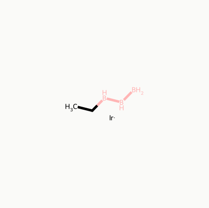 BBBCC.[Ir]